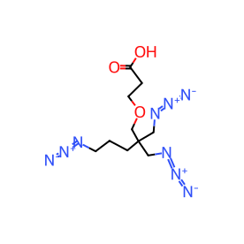 [N-]=[N+]=NCCCC(CN=[N+]=[N-])(CN=[N+]=[N-])COCCC(=O)O